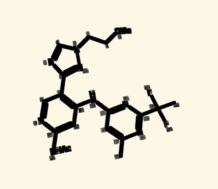 COCCn1cnc(-c2cnc(NC(C)=O)cc2Nc2cc(C)nc(C(C)(F)F)n2)n1